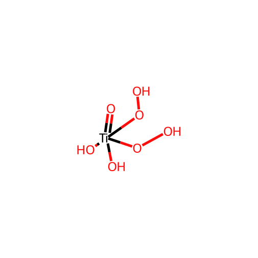 [O]=[Ti]([OH])([OH])([O]O)[O]O